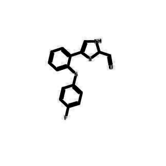 O=CC1NC=C(c2ccccc2Sc2ccc(F)cc2)S1